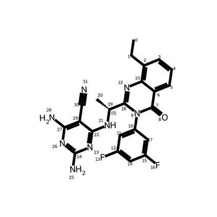 CCc1cccc2c(=O)n(-c3cc(F)cc(F)c3)c([C@H](C)Nc3nc(N)nc(N)c3C#N)nc12